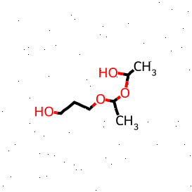 CC(O)OC(C)OCCCO